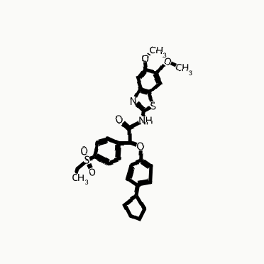 CCS(=O)(=O)c1ccc(C(Oc2ccc(C3CCCC3)cc2)C(=O)Nc2nc3cc(OC)c(OC)cc3s2)cc1